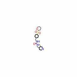 O=C(NCc1ccc(S(=O)(=O)C2CCCCO2)cc1)N1Cc2ccncc2C1